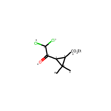 CCOC(=O)C1C(C(=O)C(Cl)Cl)C1(C)C